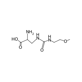 COCCNC(=O)NCC(N)C(=O)O